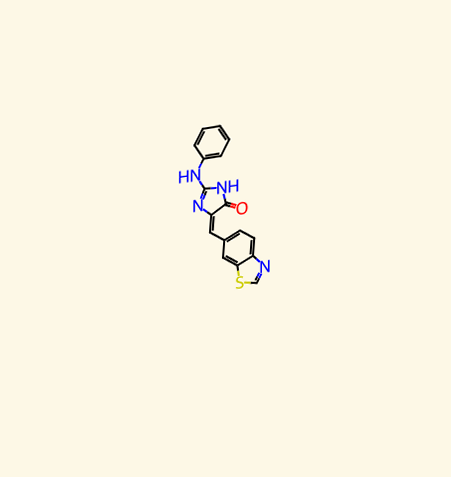 O=C1NC(Nc2ccccc2)=NC1=Cc1ccc2ncsc2c1